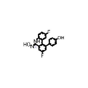 Cc1ccc(F)cc1-c1c(/C(N)=N/O)cc(F)cc1-c1ccc(O)cc1